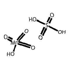 O=S(=O)(O)O.[O]=[Mn](=[O])(=[O])[OH]